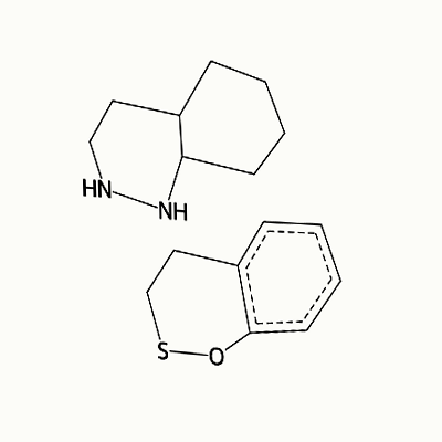 C1CCC2NNCCC2C1.c1ccc2c(c1)CCSO2